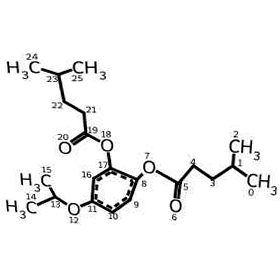 CC(C)CCC(=O)Oc1ccc(OC(C)C)cc1OC(=O)CCC(C)C